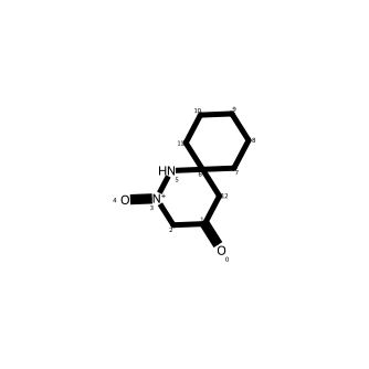 O=C1C[N+](=O)NC2(CCCCC2)C1